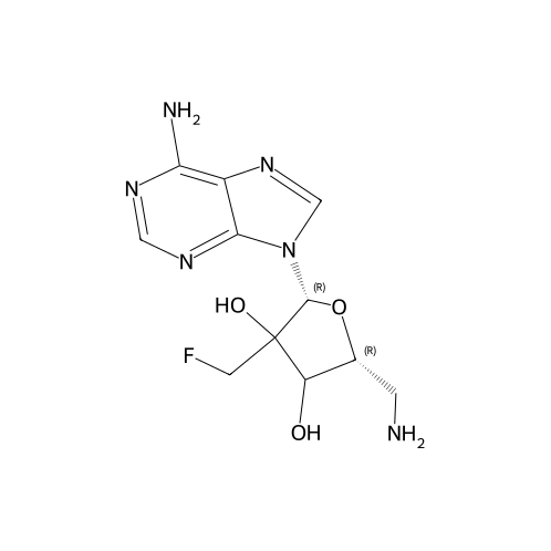 NC[C@H]1O[C@@H](n2cnc3c(N)ncnc32)C(O)(CF)C1O